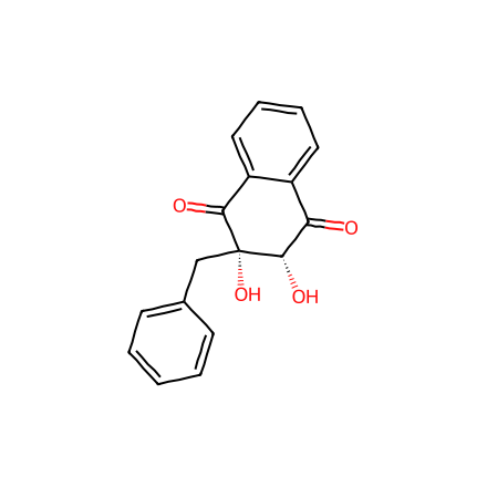 O=C1c2ccccc2C(=O)[C@](O)(Cc2ccccc2)[C@H]1O